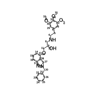 COc1cc(CCNCC(O)COc2cccc3nn(Cc4ccccc4)cc23)cc(OC)c1OC